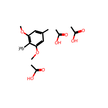 CC(=O)O.CC(=O)O.CC(=O)O.COc1cc(C)cc(OC)[c]1[Pb]